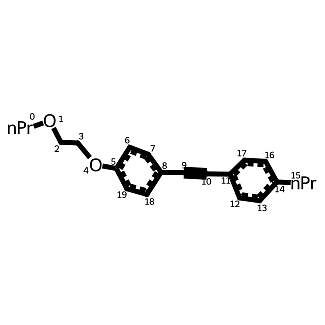 CCCOCCOc1ccc(C#Cc2ccc(CCC)cc2)cc1